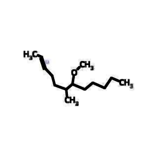 C/C=C/CCC(C)C(CCCCC)OC